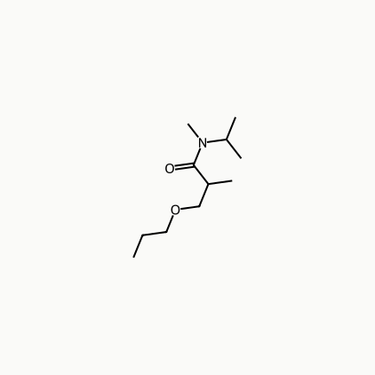 CCCOCC(C)C(=O)N(C)C(C)C